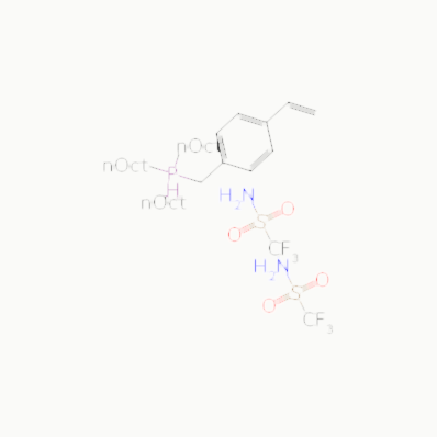 C=Cc1ccc(C[PH](CCCCCCCC)(CCCCCCCC)CCCCCCCC)cc1.NS(=O)(=O)C(F)(F)F.NS(=O)(=O)C(F)(F)F